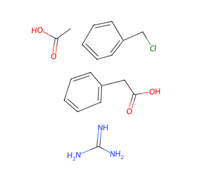 CC(=O)O.ClCc1ccccc1.N=C(N)N.O=C(O)Cc1ccccc1